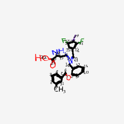 Cc1cccc(COc2ccccc2CN(CC[C@@H](N)C(=O)O)Cc2cc(F)c(I)c(F)c2)c1